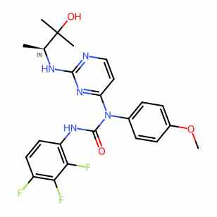 COc1ccc(N(C(=O)Nc2ccc(F)c(F)c2F)c2ccnc(N[C@@H](C)C(C)(C)O)n2)cc1